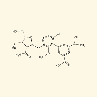 COc1c(CN2O[C@@H](CO)[C@@H](CO)[C@H]2C(N)=O)ccc(Cl)c1-c1cc(C(=O)O)cc(N(C)C)c1